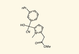 CCCc1cccc(C(O)(C#N)c2ccc(CC(=O)OC)n2C)c1